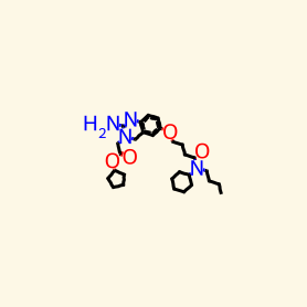 CCCCN(C(=O)CCCOc1ccc2c(c1)CN(CC(=O)OC1CCCC1)C(N)=N2)C1CCCCC1